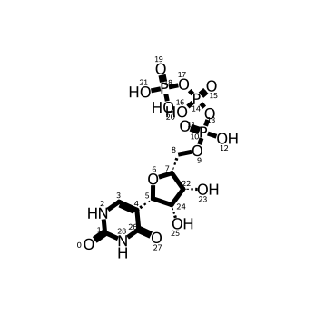 O=c1[nH]cc([C@@H]2O[C@H](COP(=O)(O)OP(=O)(O)OP(=O)(O)O)[C@H](O)[C@@H]2O)c(=O)[nH]1